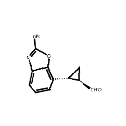 CCCc1nc2cccc([C@@H]3C[C@H]3C=O)c2o1